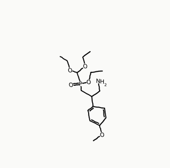 CCOC(OCC)P(=O)(CC(CN)c1ccc(OC)cc1)OCC